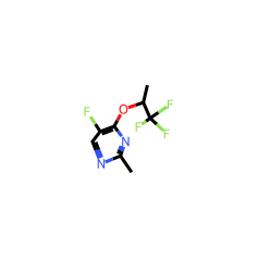 Cc1ncc(F)c(OC(C)C(F)(F)F)n1